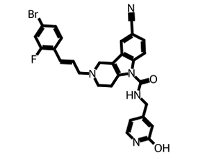 N#Cc1ccc2c(c1)c1c(n2C(=O)NCc2ccnc(O)c2)CCN(CC=Cc2ccc(Br)cc2F)C1